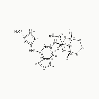 Cc1cc(Nc2nc(N[C@@H]3C[C@H]4CCC[C@@H](C3)N4C(=O)OC(C)(C)C)nc3ccsc23)n[nH]1